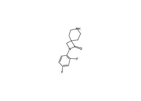 O=C1N(c2ccc(F)cc2F)CC12CCNCC2